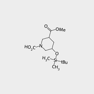 COC(=O)C1CC(O[Si](C)(C)C(C)(C)C)CN(C(=O)O)C1